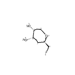 O[C@@H]1CO[C@@H](CF)C[C@@H]1O